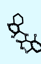 CC(=O)c1cnc2c(c1NC(C(N)=O)c1c(Cl)cccc1Cl)CCCC2